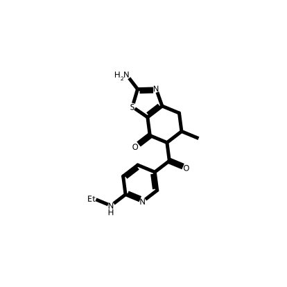 CCNc1ccc(C(=O)C2C(=O)c3sc(N)nc3CC2C)cn1